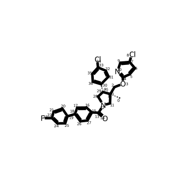 C[C@]1(COc2ccc(Cl)cn2)CN(C(=O)c2ccc(-c3ccc(F)cc3)cc2)C[C@@H]1c1ccc(Cl)cc1